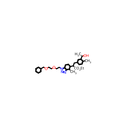 CCOC(=O)C(Cc1ccc(C)c([C@H](C)O)c1)c1ccc2c(nnn2CCOCCOCc2ccccc2)c1C